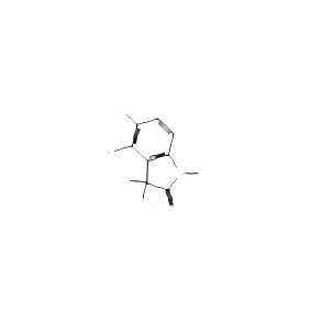 Cc1ccc2c(c1Br)C(C)(C)C(=O)N2C